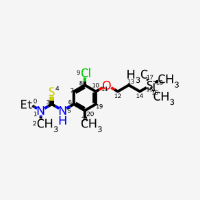 CCN(C)C(=S)Nc1cc(Cl)c(OCCC[Si](C)(C)C)cc1C